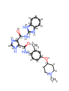 Cc1cc(OC2CCN(C)CC2)ccc1NC(=O)c1[nH]cnc1C(=O)Nc1nc2ccccc2[nH]1